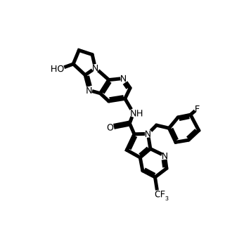 O=C(Nc1cnc2c(c1)nc1n2CCC1O)c1cc2cc(C(F)(F)F)cnc2n1Cc1cccc(F)c1